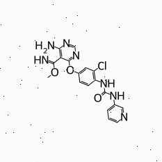 COC(=N)c1c(N)ncnc1Oc1ccc(NC(=O)Nc2cccnc2)c(Cl)c1